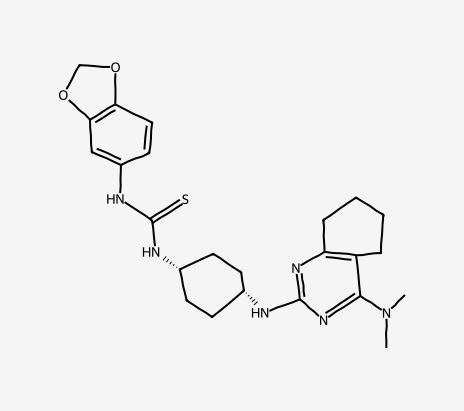 CN(C)c1nc(N[C@H]2CC[C@@H](NC(=S)Nc3ccc4c(c3)OCO4)CC2)nc2c1CCCC2